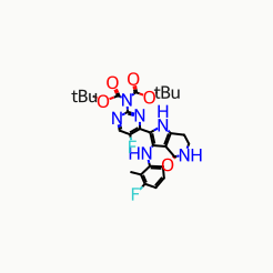 Cc1c(F)cccc1Nc1c(-c2nc(N(C(=O)OC(C)(C)C)C(=O)OC(C)(C)C)ncc2F)[nH]c2c1C(=O)NCC2